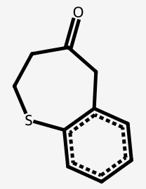 O=C1CCSc2ccccc2C1